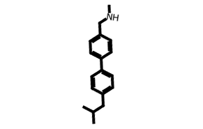 CNCc1ccc(-c2ccc(CC(C)C)cc2)cc1